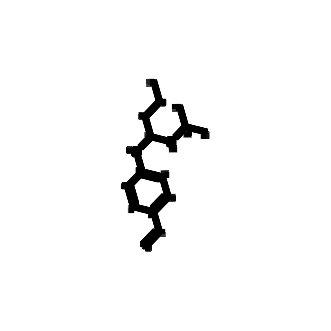 C=Cc1ccc(OC(CCC)OC(C)C)cc1